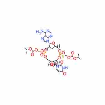 CO[C@H]1[C@H]2OP(=O)(SCOC(=O)OC(C)C)OC[C@@H]3C[C@@H](OP(=O)(OCOC(=O)OC(C)C)OC[C@H]1O[C@H]2n1ccc(=O)[nH]c1=O)[C@H](n1cnc2c(N)ncnc21)O3